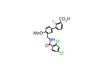 COc1ccc(-c2cccc(C(=O)O)c2F)cc1CNC(=O)c1ccc(Cl)cc1Cl